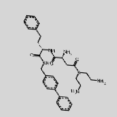 NCCN(CCN)C(=O)C[C@H](N)C(=O)N[C@@H](CCc1ccccc1)C(=O)NCc1ccc(-c2ccccc2)cc1